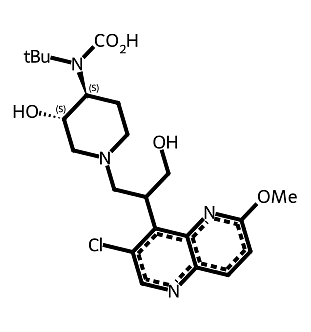 COc1ccc2ncc(Cl)c(C(CO)CN3CC[C@H](N(C(=O)O)C(C)(C)C)[C@@H](O)C3)c2n1